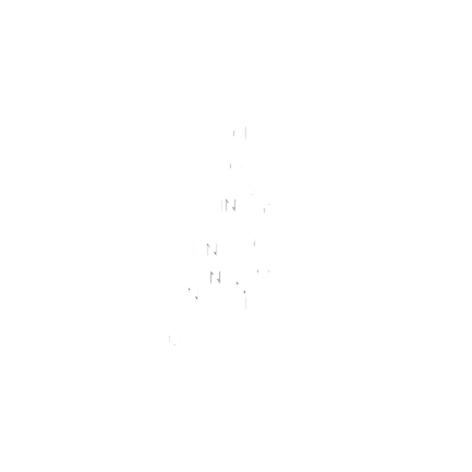 COC1=NN(NC(=O)NS(=O)(=O)c2ccccc2Cl)[NH+]([O-])C(C)=C1